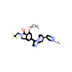 COc1cc(-c2cnc3cc(-c4cnn(C)c4)ccn23)cc2c1C(=O)N(CC(F)(F)F)C2